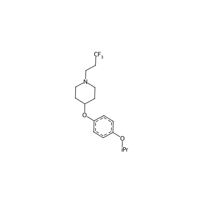 CC(C)Oc1ccc(OC2CCN(CCC(F)(F)F)CC2)cc1